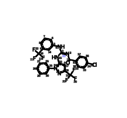 O=C(/N=C(/Nc1cccc(C(F)(F)F)c1)Nc1cc(C(F)(F)F)nn1-c1ccccc1)c1ccc(Cl)cc1